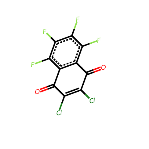 O=C1C(Cl)=C(Cl)C(=O)c2c(F)c(F)c(F)c(F)c21